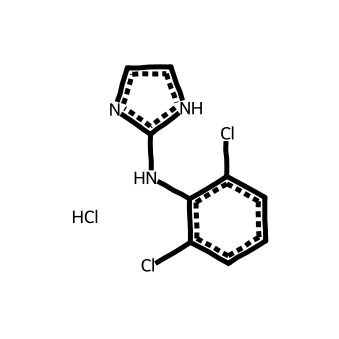 Cl.Clc1cccc(Cl)c1Nc1ncc[nH]1